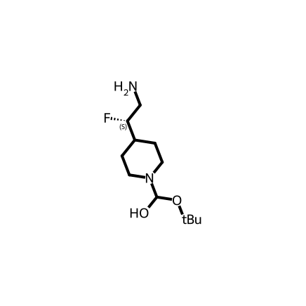 CC(C)(C)OC(O)N1CCC([C@H](F)CN)CC1